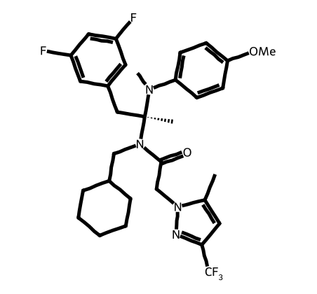 COc1ccc(N(C)[C@](C)(Cc2cc(F)cc(F)c2)N(CC2CCCCC2)C(=O)Cn2nc(C(F)(F)F)cc2C)cc1